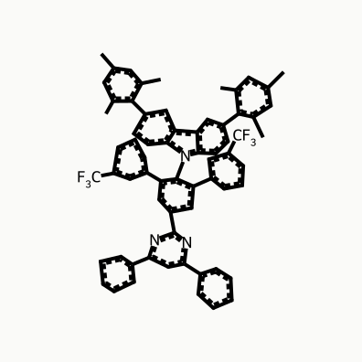 Cc1cc(C)c(-c2ccc3c(c2)c2cc(-c4c(C)cc(C)cc4C)ccc2n3-c2c(-c3cccc(C(F)(F)F)c3)cc(-c3nc(-c4ccccc4)cc(-c4ccccc4)n3)cc2-c2cccc(C(F)(F)F)c2)c(C)c1